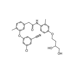 Cc1cc(OCCC(O)CO)ccc1NC(=O)Cc1ccc(C)c(Oc2cc(Cl)cc(C#N)c2)c1